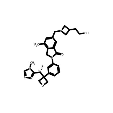 Cn1cnnc1[C@H](F)C1(c2cccc(N3Cc4c(cc(CN5CC(CCO)C5)cc4C(F)(F)F)C3=O)c2)COC1